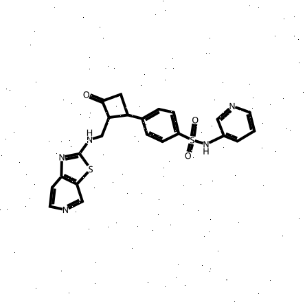 O=C1CC(c2ccc(S(=O)(=O)Nc3cccnc3)cc2)C1CNc1nc2ccncc2s1